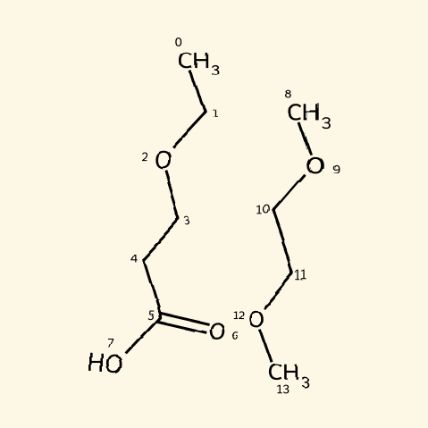 CCOCCC(=O)O.COCCOC